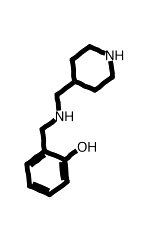 Oc1ccccc1CNCC1CCNCC1